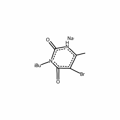 CCC(C)n1c(=O)[nH]c(C)c(Br)c1=O.[Na]